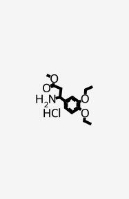 CCOc1ccc(C(N)CC(=O)OC)cc1OCC.Cl